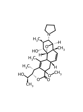 COC12C[C@H]3C=C[C@]4(C)[C@H]5[C@H](O)[C@@H](C)[C@H](N6CCCC6)[C@@H]4O[C@@]35C(C)=C1[C@@H](C)[C@@H]([C@@H](C)O)OC2=O